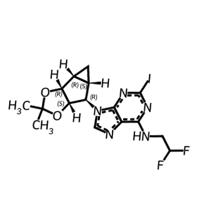 CC1(C)O[C@@H]2[C@@H]3C[C@@H]3[C@@H](n3cnc4c(NCC(F)F)nc(I)nc43)[C@@H]2O1